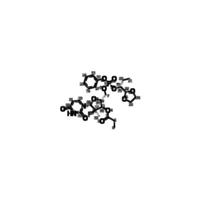 CCC(=O)O[C@@H]1[C@@H](COP(=O)(Oc2ccccc2)O[C@H](CC)C2OCCO2)O[C@@H](n2ccc(=O)[nH]c2=O)[C@]1(C)F